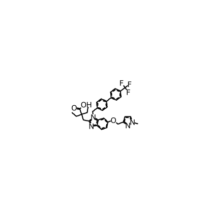 CCC(CC)(Cc1nc2ccc(OCc3ccn(C)n3)cc2n1Cc1ccc(-c2ccc(C(F)(F)F)cc2)cc1)C(=O)O